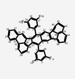 Fc1cc(F)cc(-c2c3cc4c(cc3c(-c3cc(F)cc(F)c3)c3c5cc6ccccc6c6cccc(c23)c65)c2cccc3cccc4c32)c1